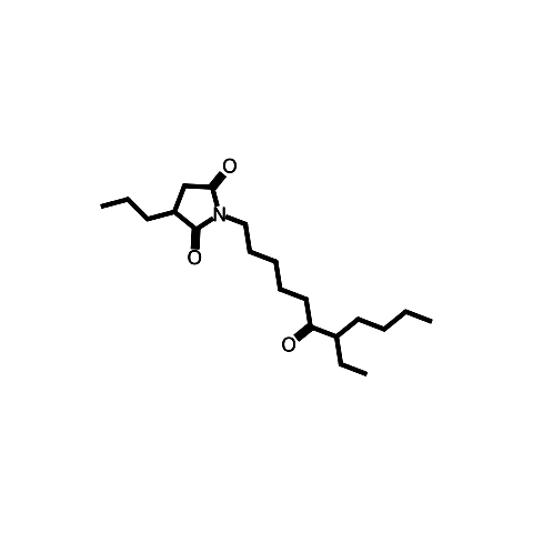 CCCCC(CC)C(=O)CCCCCN1C(=O)CC(CCC)C1=O